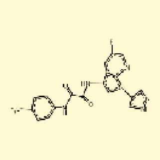 O=C(Nc1ccc(C(F)(F)F)cc1)C(=O)Nc1cn(-c2cn[nH]c2)c2ncc(F)cc12